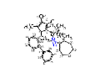 CC1=C(C)C(C)[C]([Zr]([NH]C2CCCCCC2)[SiH](C)C)=C1C.c1ccc(-c2ccccc2)cc1